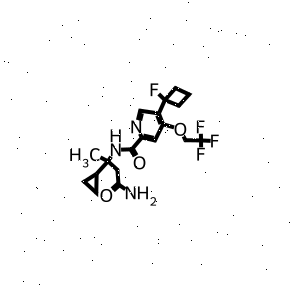 CC(CC(N)=O)(NC(=O)c1cc(OCC(F)(F)F)c(C2(F)CCC2)cn1)C1CC1